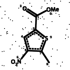 COC(=O)c1[c]c([N+](=O)[O-])c(C)s1